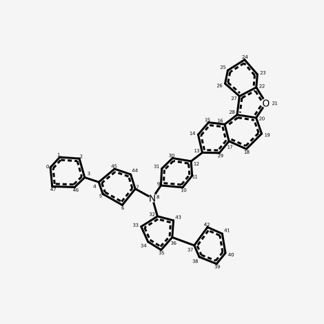 c1ccc(-c2ccc(N(c3ccc(-c4ccc5c(ccc6oc7ccccc7c65)c4)cc3)c3cccc(-c4ccccc4)c3)cc2)cc1